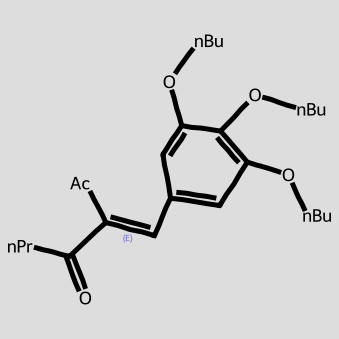 CCCCOc1cc(/C=C(\C(C)=O)C(=O)CCC)cc(OCCCC)c1OCCCC